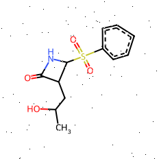 CC(O)CC1C(=O)NC1S(=O)(=O)c1ccccc1